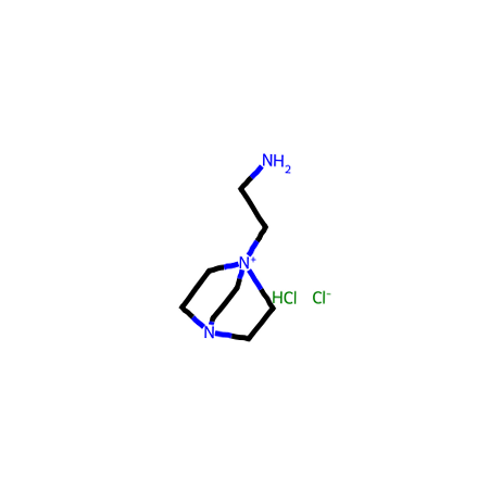 Cl.NCC[N+]12CCN(CC1)CC2.[Cl-]